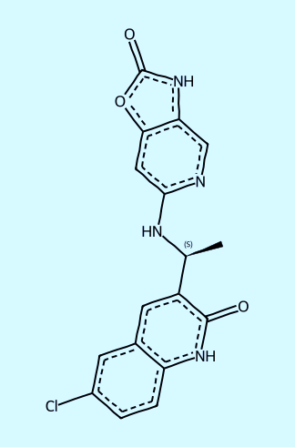 C[C@H](Nc1cc2oc(=O)[nH]c2cn1)c1cc2cc(Cl)ccc2[nH]c1=O